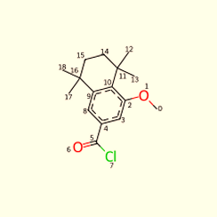 COc1cc(C(=O)Cl)cc2c1C(C)(C)CCC2(C)C